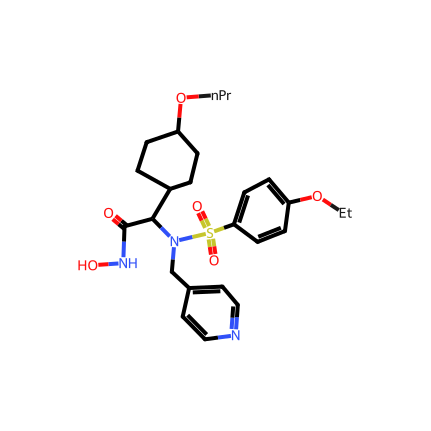 CCCOC1CCC(C(C(=O)NO)N(Cc2ccncc2)S(=O)(=O)c2ccc(OCC)cc2)CC1